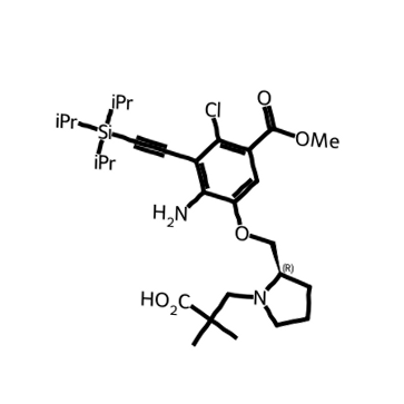 COC(=O)c1cc(OC[C@H]2CCCN2CC(C)(C)C(=O)O)c(N)c(C#C[Si](C(C)C)(C(C)C)C(C)C)c1Cl